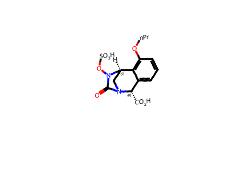 CCCOc1cccc2c1[C@H]1CN(C(=O)N1OS(=O)(=O)O)[C@H]2C(=O)O